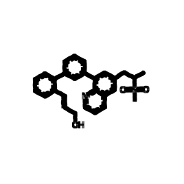 CC(Cc1cc(-c2cccc(-c3ccccc3C=CCO)c2)c2ncccc2c1)S(C)(=O)=O